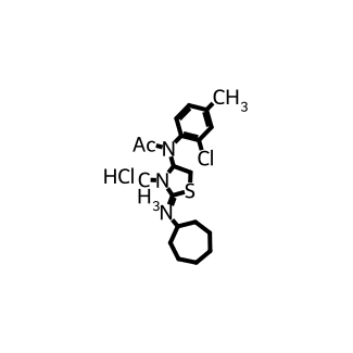 CC(=O)N(c1ccc(C)cc1Cl)C1CSC(=NC2CCCCCC2)N1C.Cl